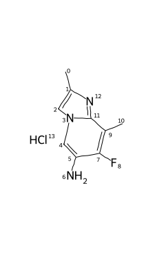 Cc1cn2cc(N)c(F)c(C)c2n1.Cl